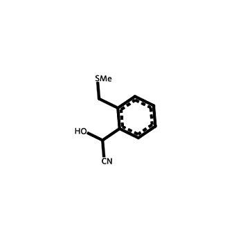 CSCc1ccccc1C(O)C#N